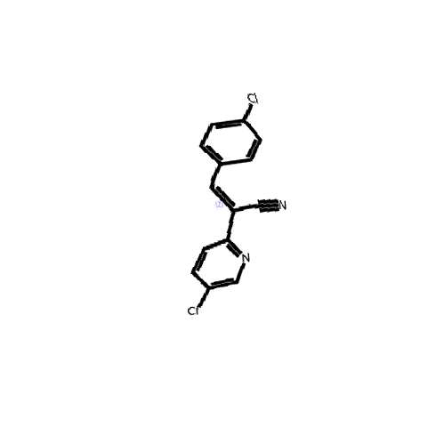 N#C/C(=C\c1ccc(Cl)cc1)c1ccc(Cl)cn1